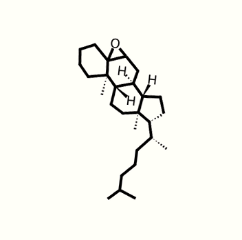 CC(C)CCC[C@@H](C)[C@H]1CC[C@H]2[C@@H]3CC4OC45CCCC[C@]5(C)[C@H]3CC[C@]12C